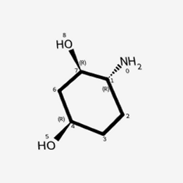 N[C@@H]1CC[C@@H](O)C[C@H]1O